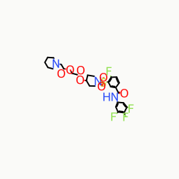 O=C(CN1CCCCC1)OCC(=O)OC1CCN(S(=O)(=O)c2cc(C(=O)Nc3cc(F)c(F)c(F)c3)ccc2F)CC1